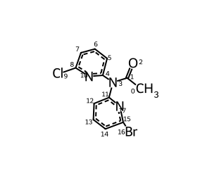 CC(=O)N(c1cccc(Cl)n1)c1cccc(Br)n1